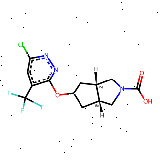 O=C(O)N1C[C@H]2CC(Oc3nnc(Cl)cc3C(F)(F)F)C[C@H]2C1